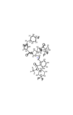 CC(C)(C)OC(=O)c1c(/C=C/C2CN(C(=O)c3cnn(Cc4ccc(F)cc4)c3)CC23CN(C(=O)C2(C(F)(F)F)CC2)C3)cccc1C1=CCC(F)(F)CC1